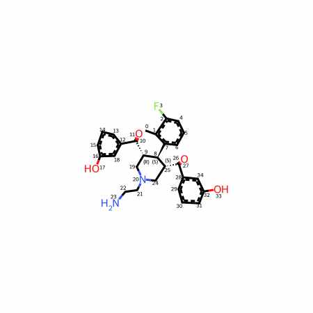 Cc1c(F)cccc1[C@@H]1[C@@H](C(=O)c2cccc(O)c2)CN(CCN)C[C@H]1C(=O)c1cccc(O)c1